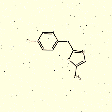 Cc1cnc(Cc2ccc(F)cc2)o1